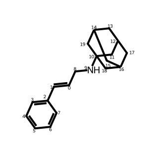 C(=C\c1ccccc1)/CNC12CC3CC(CC(C3)C1)C2